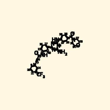 Cc1c(NC(=O)C#Cc2cccc(C(F)(F)F)c2)cccc1-c1nc(N)nc(Nc2ccc(C(=O)N3CCOCC3)cc2)n1